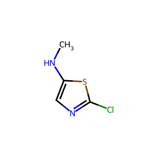 CNc1cnc(Cl)s1